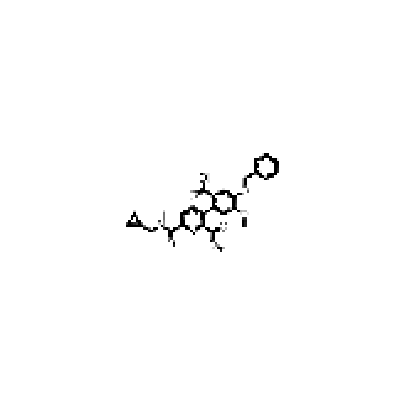 COC(=O)c1nc(C(=O)NCC2CC2)ccc1-c1cc(OC)c(OCc2ccccc2)cc1C(=O)O